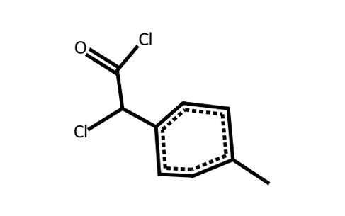 Cc1ccc(C(Cl)C(=O)Cl)cc1